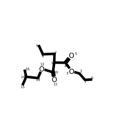 CCCOC(=O)C(CCC)C(=O)OCC(C)C